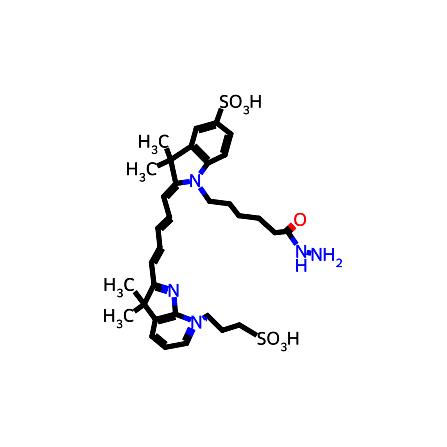 CC1(C)C(/C=C/C=C/C=C2\N(CCCCCC(=O)NN)c3ccc(S(=O)(=O)O)cc3C2(C)C)=Nc2c1ccc[n+]2CCCS(=O)(=O)O